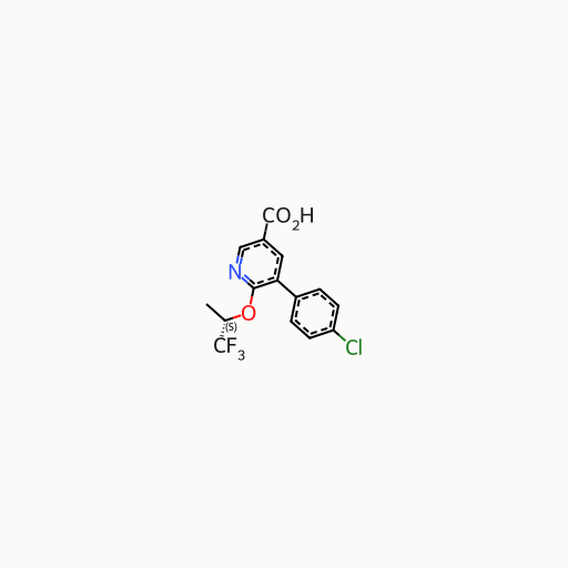 C[C@H](Oc1ncc(C(=O)O)cc1-c1ccc(Cl)cc1)C(F)(F)F